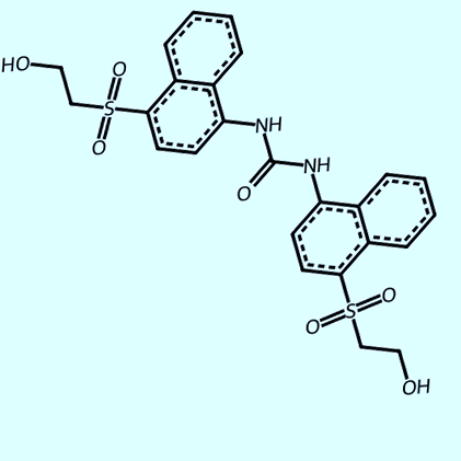 O=C(Nc1ccc(S(=O)(=O)CCO)c2ccccc12)Nc1ccc(S(=O)(=O)CCO)c2ccccc12